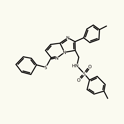 Cc1ccc(-c2nc3ccc(Sc4ccccc4)nn3c2CNS(=O)(=O)c2ccc(C)cc2)cc1